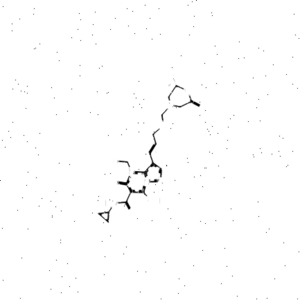 C=C1CN(COC/C=C/c2cnn3c(O)c(C(=O)NC4CC4)c(=O)n(CC(C)(C)C)c23)C[C@@H](C)O1